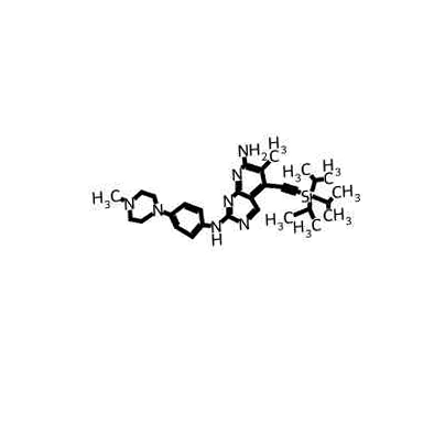 Cc1c(N)nc2nc(Nc3ccc(N4CCN(C)CC4)cc3)ncc2c1C#C[Si](C(C)C)(C(C)C)C(C)C